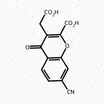 N#Cc1ccc2c(=O)c(CC(=O)O)c(C(=O)O)oc2c1